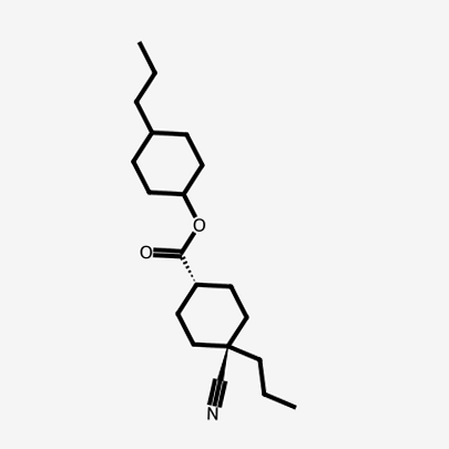 CCCC1CCC(OC(=O)[C@H]2CC[C@@](C#N)(CCC)CC2)CC1